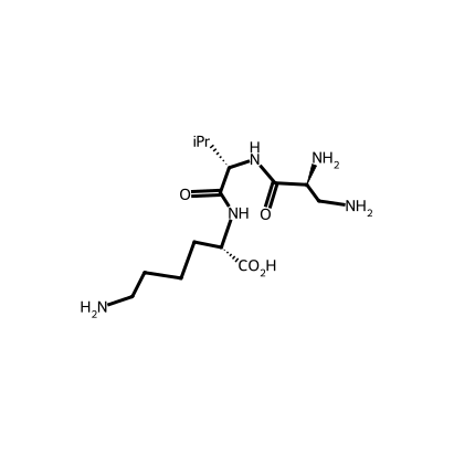 CC(C)[C@H](NC(=O)[C@@H](N)CN)C(=O)N[C@@H](CCCCN)C(=O)O